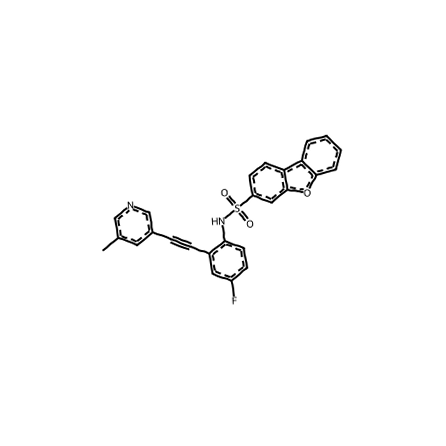 Cc1cncc(C#Cc2cc(F)ccc2NS(=O)(=O)c2ccc3c(c2)oc2ccccc23)c1